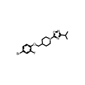 CC(C)c1noc(N2CCC(COc3ccc(Br)cc3F)CC2)n1